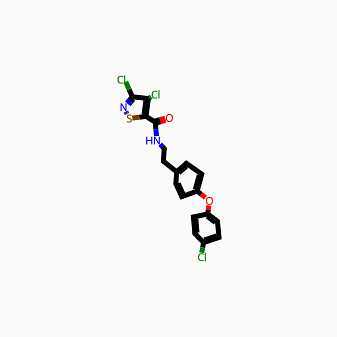 O=C(NCCc1ccc(Oc2ccc(Cl)cc2)cc1)c1snc(Cl)c1Cl